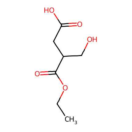 CCOC(=O)C(CO)CC(=O)O